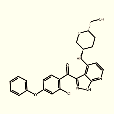 O=C(c1ccc(Oc2ccccc2)cc1Cl)c1n[nH]c2nccc(N[C@@H]3CC[C@@H](CO)OC3)c12